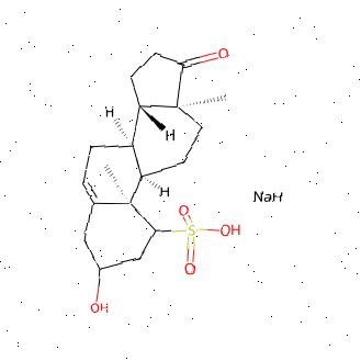 C[C@]12CC[C@@H]3[C@@H](CC=C4CC(O)CC(S(=O)(=O)O)[C@@]43C)[C@@H]1CCC2=O.[NaH]